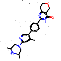 Cc1cc(N2CC(C)NC(C)C2)ncc1-c1ccc(-c2nc3c(c(=O)[nH]2)COCC3)cc1